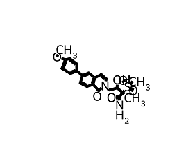 COc1ccc(-c2ccc3c(=O)n(CC(O)C(C)(C(N)=O)S(C)(=O)=O)ccc3c2)cc1